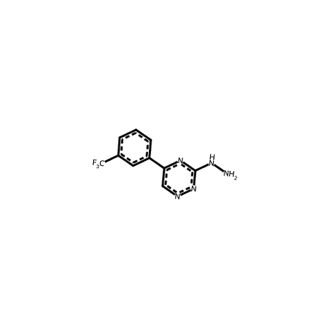 NNc1nncc(-c2cccc(C(F)(F)F)c2)n1